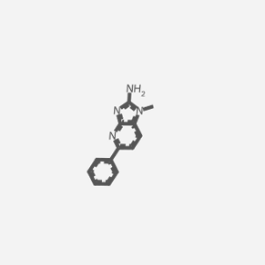 Cn1c(N)nc2nc(-c3ccccc3)ccc21